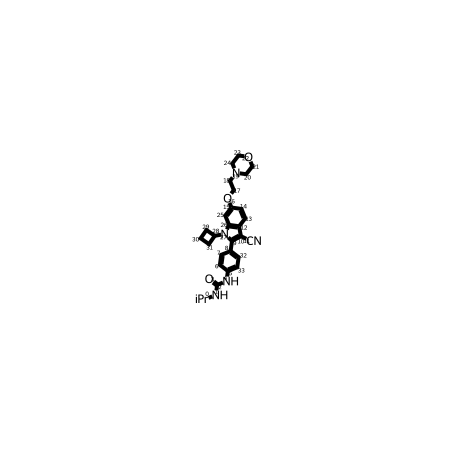 CC(C)NC(=O)Nc1ccc(-c2c(C#N)c3ccc(OCCN4CCOCC4)cc3n2C2CCC2)cc1